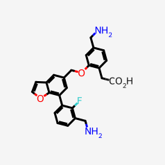 NCc1ccc(CC(=O)O)c(OCc2cc(-c3cccc(CN)c3F)c3occc3c2)c1